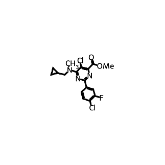 COC(=O)c1nc(-c2ccc(Cl)c(F)c2)nc(N(C)CC2CC2)c1Cl